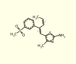 C/C=C\C(=C/c1sc(N)nc1C)c1cccc(S(C)(=O)=O)c1